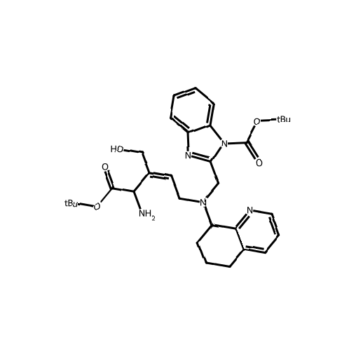 CC(C)(C)OC(=O)C(N)/C(=C\CN(Cc1nc2ccccc2n1C(=O)OC(C)(C)C)C1CCCc2cccnc21)CO